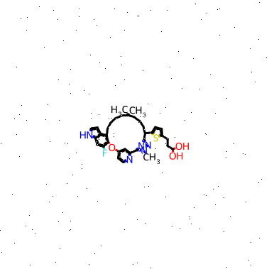 Cn1nc2nc1-c1cc(ccn1)Oc1c(F)cc3[nH]ccc3c1CCCCC(C)(C)CCCC2c1ccc(CCC(O)O)s1